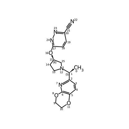 C[C@@H](c1ccc2c(n1)OCCO2)N1CC[C@@H](Oc2ccc(C#N)nn2)C1